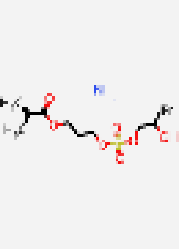 C=C(C)C(=O)OCCCOS(=O)(=O)OCC(O)C(C)C.N